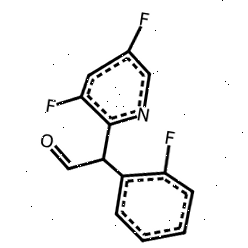 O=CC(c1ccccc1F)c1ncc(F)cc1F